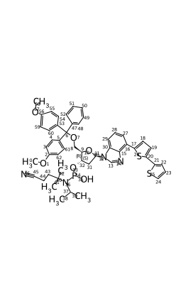 COc1ccc(C(OC[C@H]2O[C@@H](n3cnc4c(-c5ccc(-c6cccs6)s5)cccc43)C[C@@H]2OP(O)N(C(C)C)C(C)(C)CCC#N)(c2ccccc2)c2ccc(OC)cc2)cc1